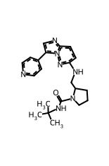 CC(C)(C)NC(=O)N1CCCC1CNc1ccc2ncc(-c3ccncc3)n2n1